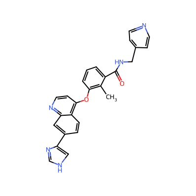 Cc1c(Oc2ccnc3cc(-c4c[nH]cn4)ccc23)cccc1C(=O)NCc1ccncc1